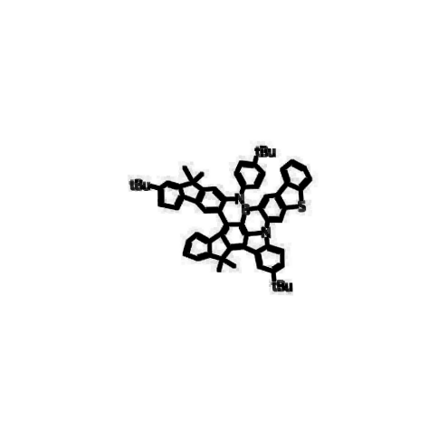 CC(C)(C)c1ccc(N2B3c4cc5c(cc4-n4c6ccc(C(C)(C)C)cc6c6c7c(c(c3c64)-c3cc4c(cc32)C(C)(C)c2cc(C(C)(C)C)ccc2-4)-c2ccccc2C7(C)C)sc2ccccc25)cc1